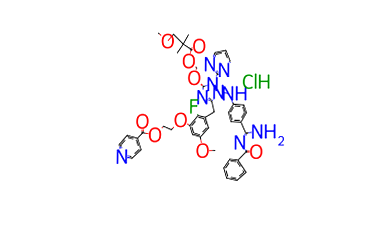 COCC(C)(C)C(=O)OCO[C@@H]1N=C(Cc2cc(OC)cc(OCCOC(=O)c3ccncc3)c2F)N(Nc2ccc(C(N)=NC(=O)c3ccccc3)cc2)N1c1ncccn1.Cl